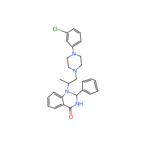 CC(CN1CCN(c2cccc(Cl)c2)CC1)N1c2ccccc2C(=O)NC1c1ccccc1